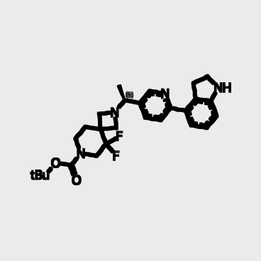 C[C@@H](c1ccc(-c2cccc3c2CCN3)nc1)N1CC2(CCN(C(=O)OC(C)(C)C)CC2(F)F)C1